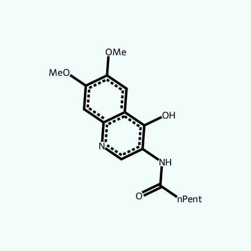 CCCCCC(=O)Nc1cnc2cc(OC)c(OC)cc2c1O